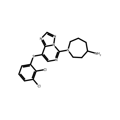 NC1CCCN(c2ncc(Sc3cccc(Cl)c3Cl)c3ncnn23)CC1